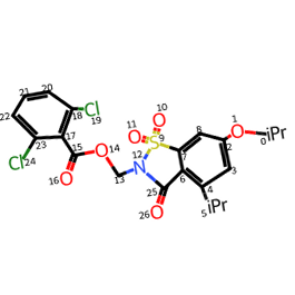 CC(C)Oc1cc(C(C)C)c2c(c1)S(=O)(=O)N(COC(=O)c1c(Cl)cccc1Cl)C2=O